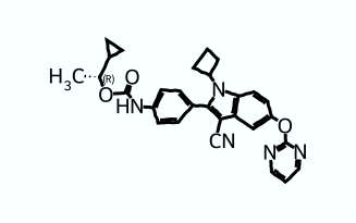 C[C@@H](OC(=O)Nc1ccc(-c2c(C#N)c3cc(Oc4ncccn4)ccc3n2C2CCC2)cc1)C1CC1